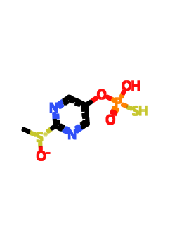 C[S+]([O-])c1ncc(OP(=O)(O)S)cn1